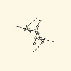 CCCCCCCCCCCCOc1cc(COC(=O)CCCCOc2cc(C#Cc3ccc(C#Cc4ccccc4)cc3)c(OCCCCC(=O)OCc3cc(OCCCCCCCCCCCC)cc(OCCCCCCCCCCCC)c3)cc2C#Cc2ccc(C#Cc3ccccc3)cc2)cc(OCCCCCCCCCCCC)c1